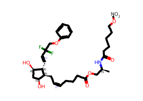 C[C@@H](COC(=O)CCC/C=C\C[C@@H]1[C@@H](/C=C/C(F)(F)COc2ccccc2)[C@H](O)C[C@@H]1O)NC(=O)CCCCCO[N+](=O)[O-]